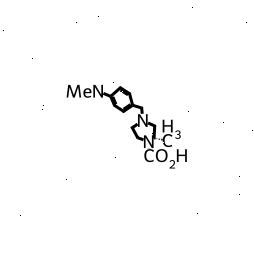 CNc1ccc(CN2CCN(C(=O)O)[C@@H](C)C2)cc1